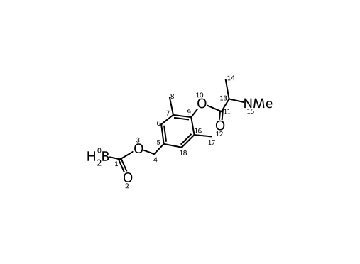 BC(=O)OCc1cc(C)c(OC(=O)C(C)NC)c(C)c1